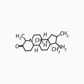 CC1C[C@H]2[C@@H]3CCN4C(C)C(=O)CC[C@]4(C)[C@@H]3CC[C@]2(C)C1N